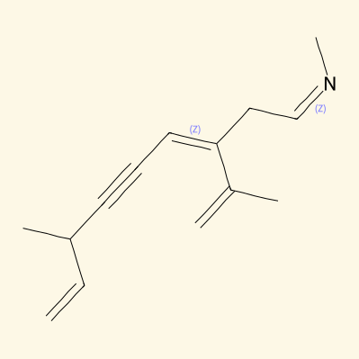 C=CC(C)C#C/C=C(/C/C=N\C)C(=C)C